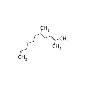 C=CCCCC[C](C)CC=C(C)C